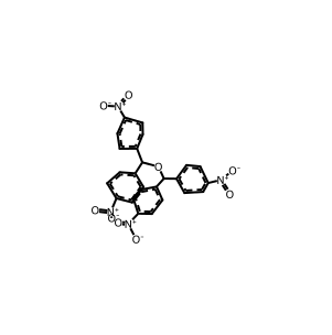 O=[N+]([O-])c1ccc(C(OC(c2ccc([N+](=O)[O-])cc2)c2ccc([N+](=O)[O-])cc2)c2ccc([N+](=O)[O-])cc2)cc1